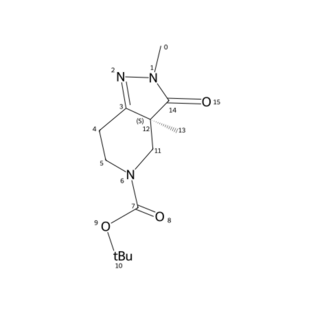 CN1N=C2CCN(C(=O)OC(C)(C)C)C[C@]2(C)C1=O